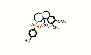 CCOC(=O)CC12CN(S(=O)(=O)c3ccc(C)cc3)CCCN1CCc1cc(OC)c(C)cc12